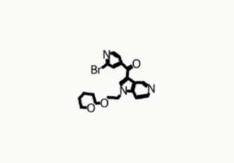 O=C(c1ccnc(Br)c1)c1cn(CCOC2CCCCO2)c2ccncc12